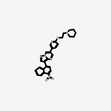 O=[SH](=O)c1ccc(-c2cnn3cc(-c4ccc(OCCN5CCCCC5)nc4)cnc23)c2ccccc12